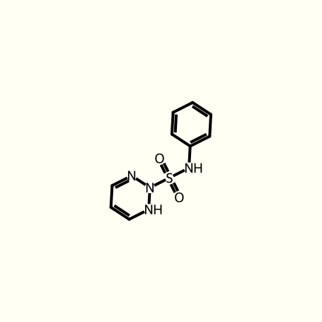 O=S(=O)(Nc1ccccc1)N1N=CC=CN1